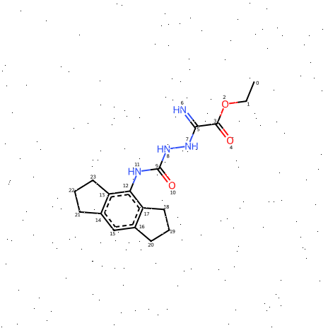 CCOC(=O)C(=N)NNC(=O)Nc1c2c(cc3c1CCC3)CCC2